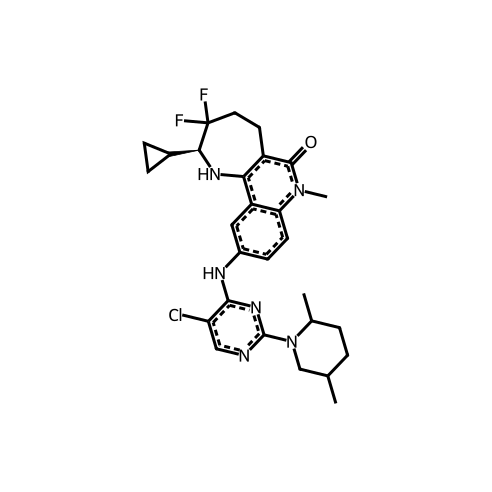 CC1CCC(C)N(c2ncc(Cl)c(Nc3ccc4c(c3)c3c(c(=O)n4C)CCC(F)(F)[C@H](C4CC4)N3)n2)C1